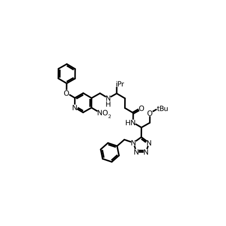 CC(C)C(CCC(=O)NC(COC(C)(C)C)c1nnnn1Cc1ccccc1)NCc1cc(Oc2ccccc2)ncc1[N+](=O)[O-]